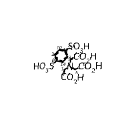 O=C(O)CN(CC(=O)O)CC(=O)O.O=S(=O)(O)c1ccc(S(=O)(=O)O)cc1